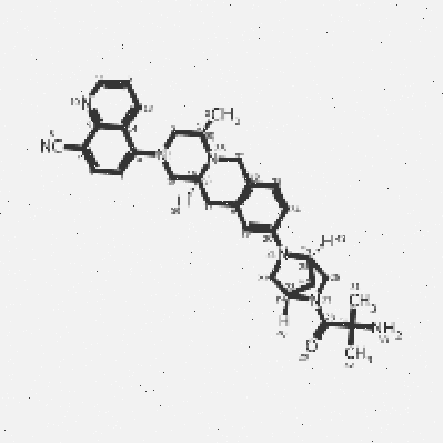 C[C@@H]1CN(c2ccc(C#N)c3ncccc23)C[C@@H]2Cc3cc(N4C[C@@H]5C[C@@H]4CN5C(=O)C(C)(C)N)ccc3CN21